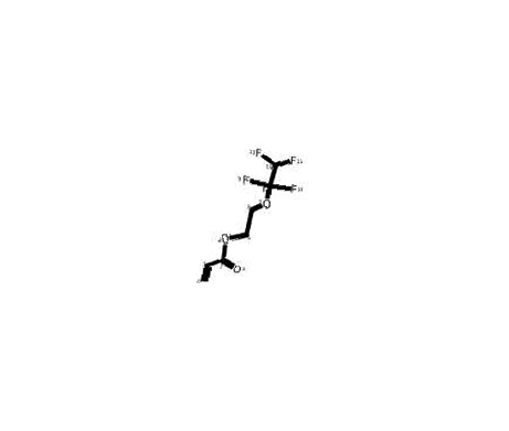 C=CC(=O)OCCOC(F)(F)C(F)F